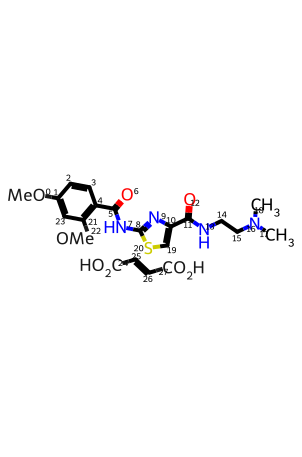 COc1ccc(C(=O)Nc2nc(C(=O)NCCN(C)C)cs2)c(OC)c1.O=C(O)C=CC(=O)O